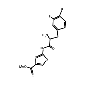 COC(=O)c1csc(NC(=O)[C@@H](N)Cc2ccc(F)c(F)c2)n1